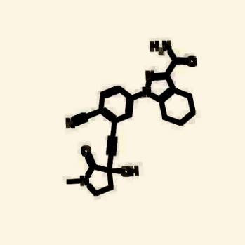 CN1CC[C@@](O)(C#Cc2cc(-n3nc(C(N)=O)c4c3CCCC4)ccc2C#N)C1=O